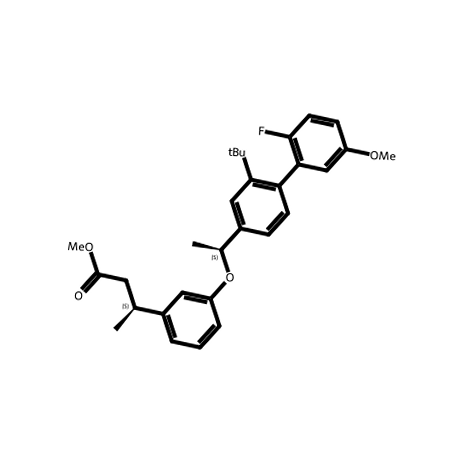 COC(=O)C[C@H](C)c1cccc(O[C@@H](C)c2ccc(-c3cc(OC)ccc3F)c(C(C)(C)C)c2)c1